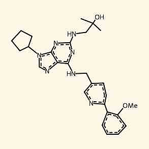 COc1ccccc1-c1ccc(CNc2nc(NCC(C)(C)O)nc3c2ncn3C2CCCC2)cn1